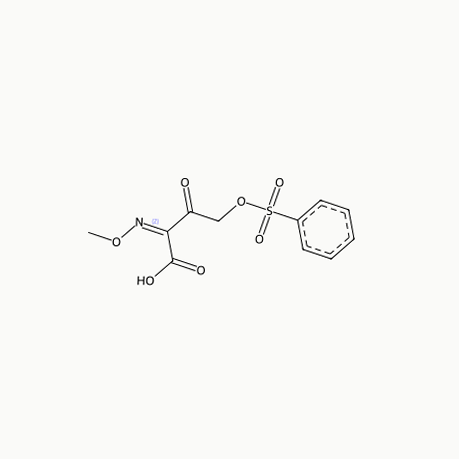 CO/N=C(\C(=O)O)C(=O)COS(=O)(=O)c1ccccc1